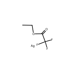 CCOC(=O)C(F)(F)F.[Ag]